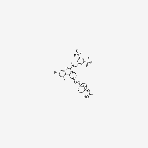 C=C(O)OC12BC(OON3CCN(C(=O)N(C)Cc4cc(C(F)(F)F)cc(C(F)(F)F)c4)[C@@H](c4ccc(F)cc4C)C3)(CCC1)CCC2